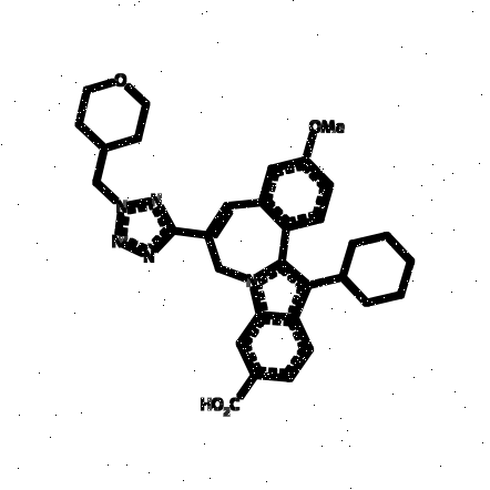 COc1ccc2c(c1)C=C(c1nnn(CC3CCOCC3)n1)Cn1c-2c(C2CCCCC2)c2ccc(C(=O)O)cc21